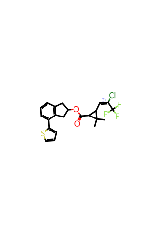 CC1(C)C(/C=C(/Cl)C(F)(F)F)C1C(=O)OC1Cc2cccc(-c3cccs3)c2C1